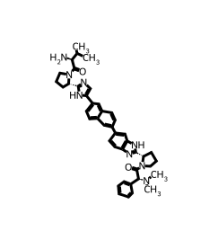 CC(C)[C@H](N)C(=O)N1CCC[C@H]1c1ncc(-c2ccc3cc(-c4ccc5nc([C@@H]6CCCN6C(=O)[C@@H](c6ccccc6)N(C)C)[nH]c5c4)ccc3c2)[nH]1